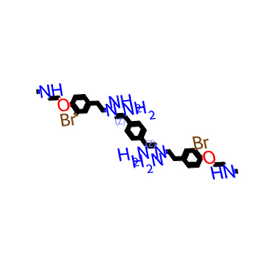 CNCCOc1ccc(CCN(N)/C=C(\N)c2ccc(/C(N)=C/N(N)CCc3ccc(OCCNC)c(Br)c3)cc2)cc1Br